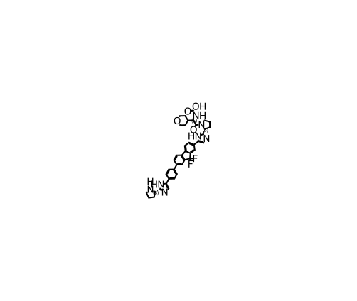 O=C(O)N[C@H](C(=O)N1CCC[C@H]1c1ncc(-c2ccc3c(c2)C(F)(F)c2cc(-c4ccc(-c5cnc([C@@H]6CCCN6)[nH]5)cc4)ccc2-3)[nH]1)C1CCOCC1